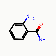 [NH]C(=O)c1ccccc1N